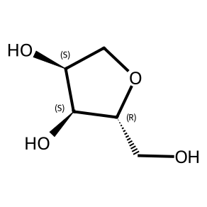 OC[C@H]1OC[C@H](O)[C@@H]1O